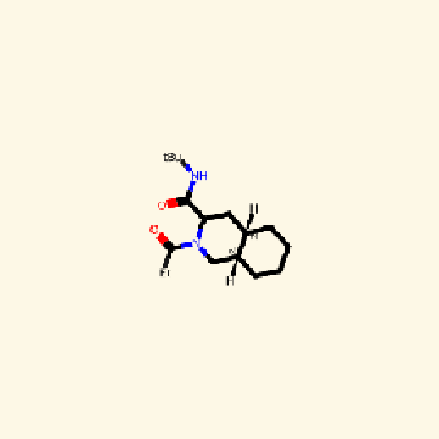 CCC(=O)N1C[C@H]2CCCC[C@H]2CC1C(=O)NC(C)(C)C